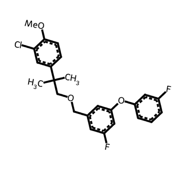 COc1ccc(C(C)(C)COCc2cc(F)cc(Oc3cccc(F)c3)c2)cc1Cl